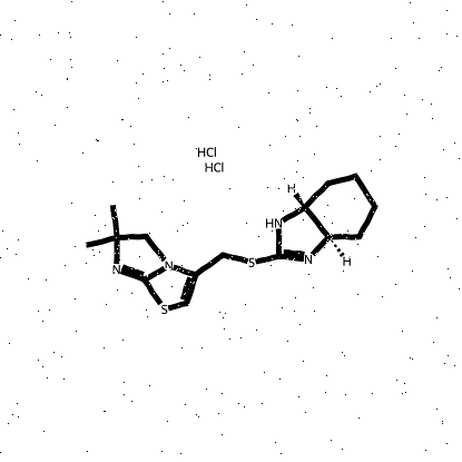 CC1(C)CN2C(CSC3=N[C@@H]4CCCC[C@H]4N3)=CSC2=N1.Cl.Cl